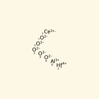 [Al+3].[Ce+3].[Hf+4].[O-2].[O-2].[O-2].[O-2].[O-2]